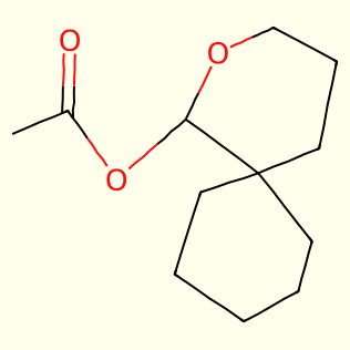 CC(=O)OC1OCCCC12CCCCC2